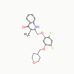 Cc1c(COc2cc(OCC3CCOCC3)c(F)cc2F)[nH]c2ccccc2c1=O